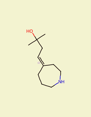 CC(C)(O)C/C=C1/CCCNCC1